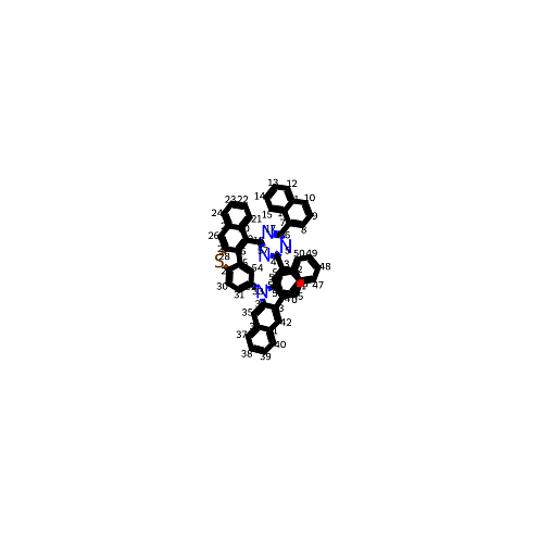 c1ccc(-c2nc(-c3cccc4ccccc34)nc(-c3c4ccccc4cc4sc5ccc(-n6c7cc8ccccc8cc7c7cc8ccccc8cc76)cc5c34)n2)cc1